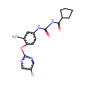 Cc1cc(NC(=O)NC(=O)C2CCCC2)ccc1Oc1ncc(Cl)cn1